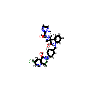 Cn1ccnc1C(=O)N1CC2(C1)C(=O)N(CC1CCC(NC(=O)c3cc(Cl)cnc3C(F)F)CC1)c1ccccc12